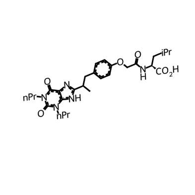 CCCn1c(=O)c2nc(C(C)Cc3ccc(OCC(=O)N[C@@H](CC(C)C)C(=O)O)cc3)[nH]c2n(CCC)c1=O